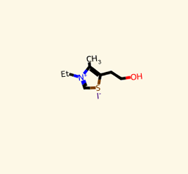 CC[n+]1csc(CCO)c1C.[I-]